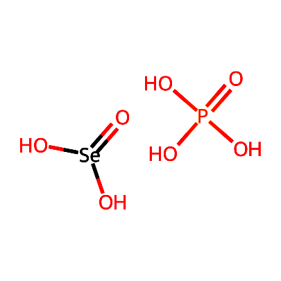 O=P(O)(O)O.O=[Se](O)O